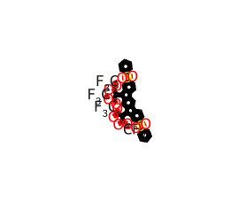 O=C(OC(F)(F)F)C(C(=O)OC(F)(F)F)=C1c2cc(S(=O)(=O)c3ccccc3)ccc2-c2cc3c(cc21)C(=C(C(=O)OC(F)(F)F)C(=O)OC(F)(F)F)c1cc(S(=O)(=O)c2ccccc2)ccc1-3